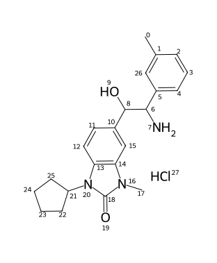 Cc1cccc(C(N)C(O)c2ccc3c(c2)n(C)c(=O)n3C2CCCC2)c1.Cl